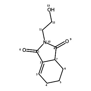 O=C1C2=CCCCC2C(=O)N1CCO